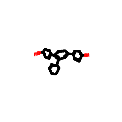 Oc1ccc(-c2ccc(-c3ccc(O)cc3)c(C3CCCCC3)c2)cc1